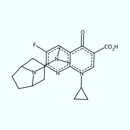 CN(C)C1CC2CCC(C1)N2c1nc2c(cc1F)c(=O)c(C(=O)O)cn2C1CC1